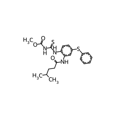 COC(=O)NC(=S)Nc1ccc(Sc2ccccc2)cc1NC(=O)CCC(C)C